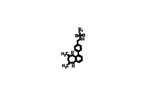 C=C1CC(=C)Nc2c(cccc2-c2ccc(CNS(C)(=O)=O)cc2)N1